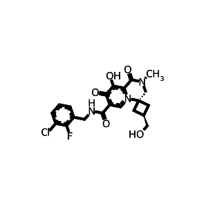 CN1C[C@]2(C[C@H](CO)C2)n2cc(C(=O)NCc3cccc(Cl)c3F)c(=O)c(O)c2C1=O